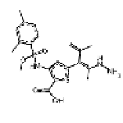 C=C(C)/C(=C(/C)NN)c1cc(NP(=O)(OC)c2ccc(C)cc2C)c(C(=O)O)s1